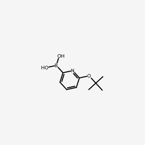 CC(C)(C)Oc1cccc(B(O)O)n1